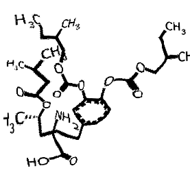 CCC(C)COC(=O)Oc1ccc(CC(N)(C[C@H](C)OC(=O)CC(C)C)C(=O)O)cc1OC(=O)OCC(C)CC